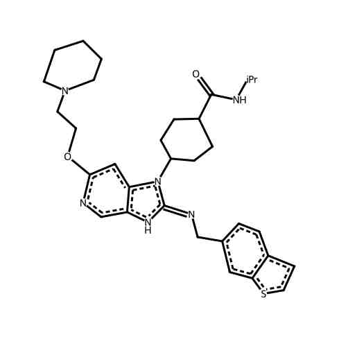 CC(C)NC(=O)C1CCC(n2/c(=N/Cc3ccc4ccsc4c3)[nH]c3cnc(OCCN4CCCCC4)cc32)CC1